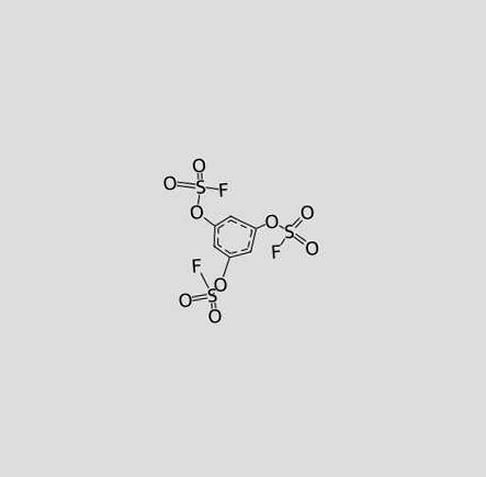 O=S(=O)(F)Oc1cc(OS(=O)(=O)F)cc(OS(=O)(=O)F)c1